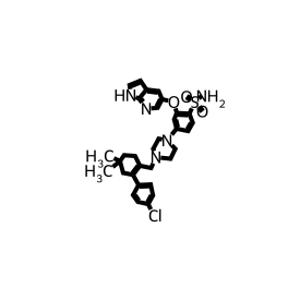 CC1(C)CCC(CN2CCN(c3ccc(S(N)(=O)=O)c(Oc4cnc5[nH]ccc5c4)c3)CC2)=C(c2ccc(Cl)cc2)C1